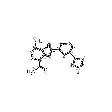 Cn1cnc(-c2cccc(-c3cc4c(C(N)=O)cnc(N)c4[nH]3)c2)n1